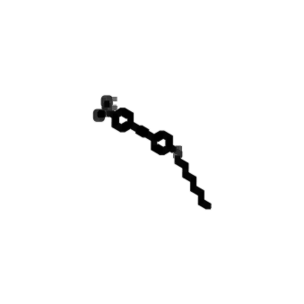 CCCCCCCCSc1ccc(C#Cc2ccc([N+](=O)[O-])cc2)cc1